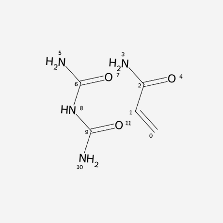 C=CC(N)=O.NC(=O)NC(N)=O